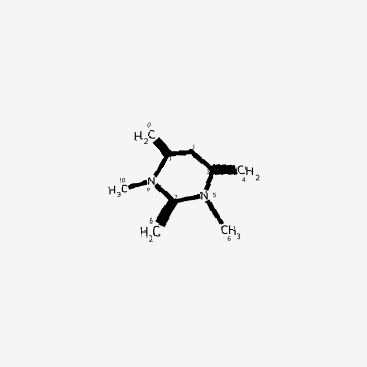 C=C1CC(=C)N(C)C(=C)N1C